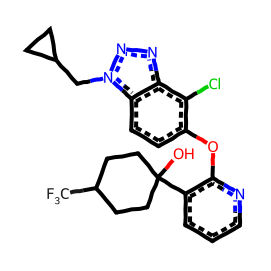 OC1(c2cccnc2Oc2ccc3c(nnn3CC3CC3)c2Cl)CCC(C(F)(F)F)CC1